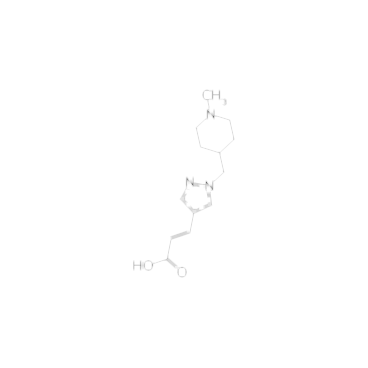 CN1CCC(Cn2cc(C=CC(=O)O)cn2)CC1